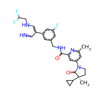 Cc1cc(N2CC[C@@](C)(C3CC3)C2=O)cc(C(=O)NCc2cc(F)cc(/C(C=N)=C/NCC(F)F)c2)n1